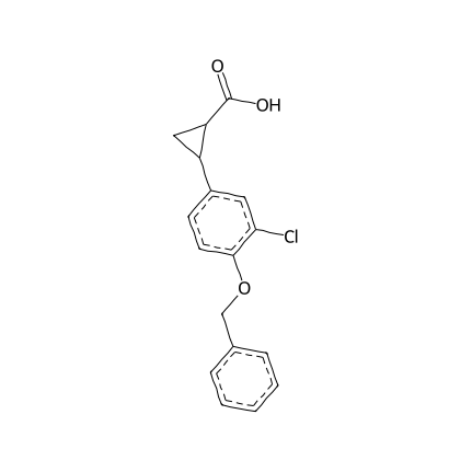 O=C(O)C1CC1c1ccc(OCc2ccccc2)c(Cl)c1